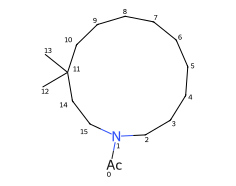 CC(=O)N1CCCCCCCCCC(C)(C)CC1